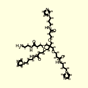 NCCNC(=O)CCOCC(COCCC(=O)NCCCn1ccnc1)(COCCC(=O)NCCCn1ccnc1)COCCC(=O)NCCCn1ccnc1